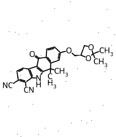 CC1(C)OC[C@H](COc2ccc3c(c2)C(C)(C)c2[nH]c4c(C#N)c(C#N)ccc4c2C3=O)O1